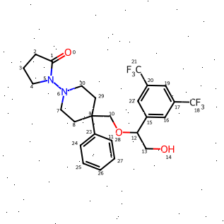 O=C1CCCN1N1CCC(COC(CO)c2cc(C(F)(F)F)cc(C(F)(F)F)c2)(c2ccccc2)CC1